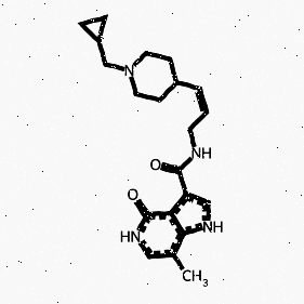 Cc1c[nH]c(=O)c2c(C(=O)NC/C=C\C3CCN(CC4CC4)CC3)c[nH]c12